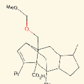 COCOCC12CC3C(C)CCC3C3(C#N)CC1C=C(C(C)C)C32C(=O)O